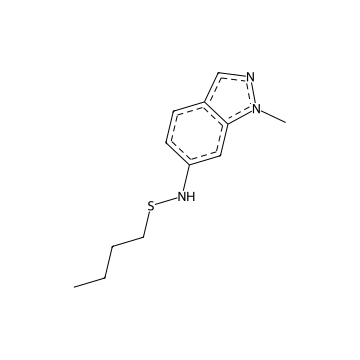 CCCCSNc1ccc2cnn(C)c2c1